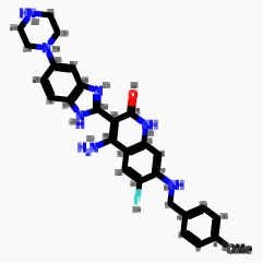 COc1ccc(CNc2cc3[nH]c(=O)c(-c4nc5cc(N6CCNCC6)ccc5[nH]4)c(N)c3cc2F)cc1